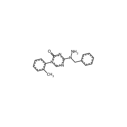 Cc1ccccc1-n1cnc(N(N)Cc2ccccc2)nc1=O